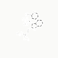 CN(C)CCc1sc2ccccc2c1C(C)(O)c1cccnc1Cl